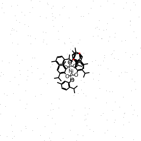 Cc1ccc(C(C)C)c(O[PH](Oc2cc(C)ccc2C(C)C)(Oc2cc(C)ccc2C(C)C)[Ni][PH](Oc2cc(C)ccc2C(C)C)(Oc2cc(C)ccc2C(C)C)Oc2cc(C)ccc2C(C)C)c1